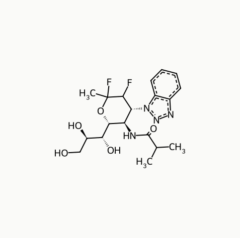 CC(C)C(=O)N[C@H]1[C@H]([C@H](O)[C@H](O)CO)OC(C)(F)C(F)[C@@H]1n1nnc2ccccc21